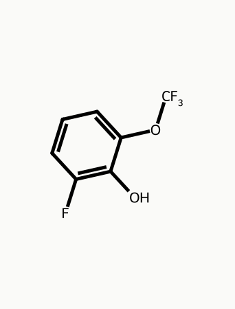 Oc1c(F)cccc1OC(F)(F)F